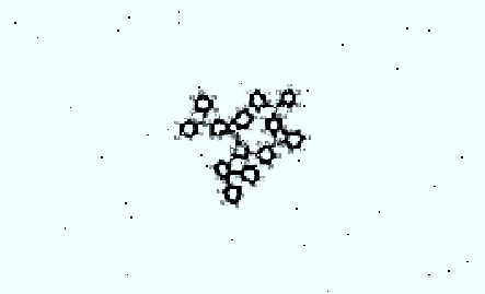 c1ccc(-c2cccc(-c3cc(-c4cccc(-n5c6ccccc6c6cc(N(c7ccccc7)c7ccccc7)ccc65)c4)nc(-n4c5ccccc5c5cc(N(c6ccccc6)c6ccccc6)ccc54)n3)c2-c2ccccc2)cc1